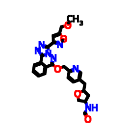 COCc1cc(-c2nnc3c4ccccc4c(OCc4ccc(CC5CC(NC=O)CO5)cn4)nn23)no1